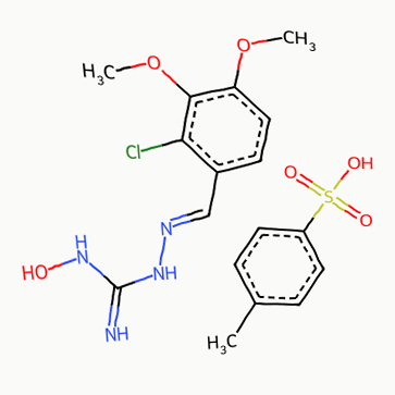 COc1ccc(C=NNC(=N)NO)c(Cl)c1OC.Cc1ccc(S(=O)(=O)O)cc1